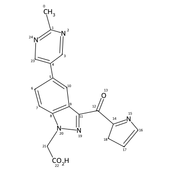 Cc1ncc(-c2ccc3c(c2)c(C(=O)C2=NC=CC2)nn3CC(=O)O)cn1